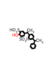 CC(c1ccccc1)c1ccc(C(C)c2cc(S(=O)(=O)O)c(O)c(S(=O)(=O)O)c2)cc1